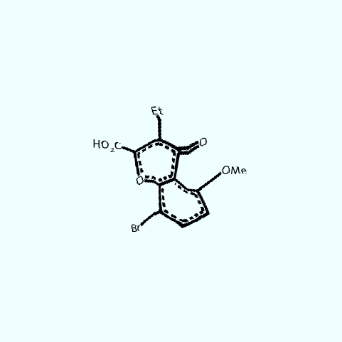 CCc1c(C(=O)O)oc2c(Br)ccc(OC)c2c1=O